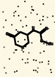 CC(C)(C)OC(=O)NC1COCC(=O)C1